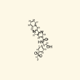 CCS(=O)(=O)c1ccc([C@H](CO)NC(=O)c2cnc3c(c2)CN(C)[C@H]3Cc2ccccc2)cc1